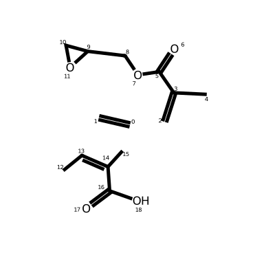 C=C.C=C(C)C(=O)OCC1CO1.CC=C(C)C(=O)O